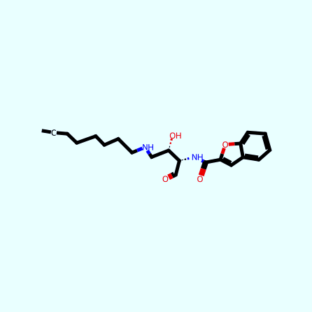 CCCCCCCCNC[C@H](O)[C@@H](C=O)NC(=O)c1cc2ccccc2o1